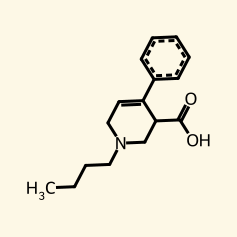 CCCCN1CC=C(c2ccccc2)C(C(=O)O)C1